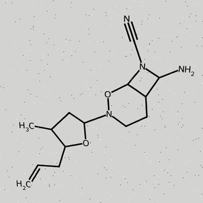 C=CCC1OC(N2CCC3C(N)N(C#N)C3O2)CC1C